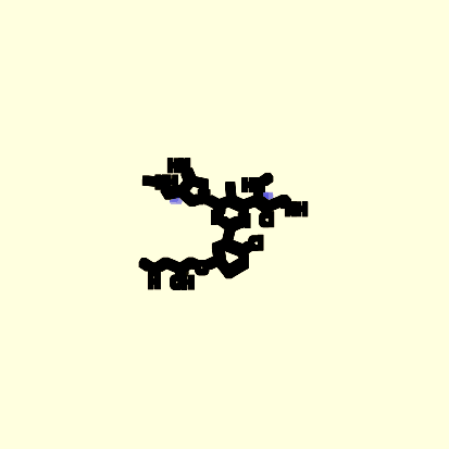 CN/C=C1/CN(c2nc(-c3cc(OC[C@H](O)CNC)ccc3Cl)nc(/C(NC)=C(\Cl)C=N)c2C)CC1=N